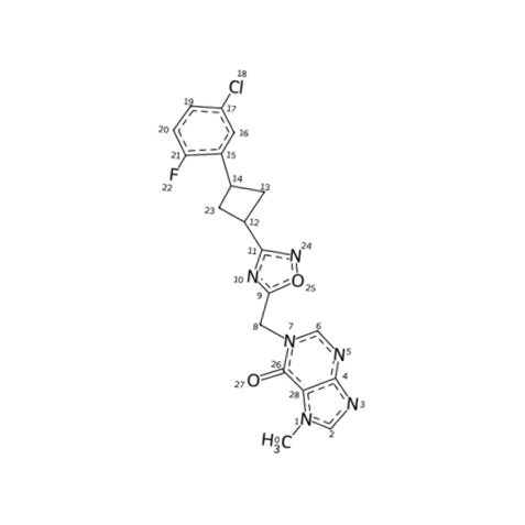 Cn1cnc2ncn(Cc3nc(C4CC(c5cc(Cl)ccc5F)C4)no3)c(=O)c21